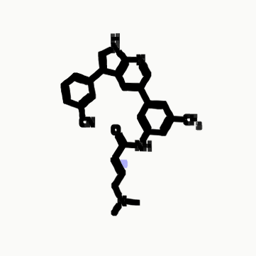 CN(C)C/C=C/C(=O)Nc1cc(-c2cnc3[nH]cc(-c4cccc(C#N)c4)c3c2)cc(C(F)(F)F)c1